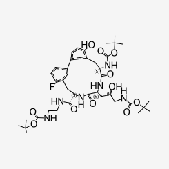 CC(C)(C)OC(=O)NCCNC(=O)[C@@H]1Cc2cc(ccc2F)-c2ccc(O)c(c2)C[C@H](NC(=O)OC(C)(C)C)C(=O)N[C@@H](C[C@@H](O)CNC(=O)OC(C)(C)C)C(=O)N1